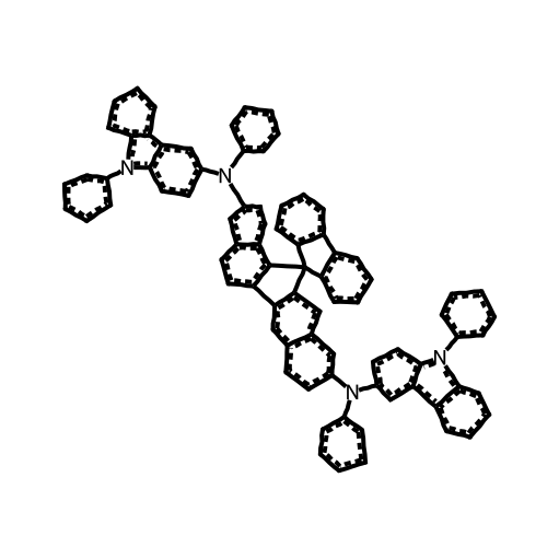 c1ccc(N(c2ccc3cc4c(cc3c2)C2(c3ccccc3-c3ccccc32)c2c-4ccc3cc(N(c4ccccc4)c4ccc5c(c4)c4ccccc4n5-c4ccccc4)ccc23)c2ccc3c(c2)c2ccccc2n3-c2ccccc2)cc1